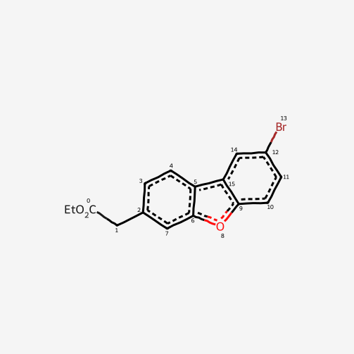 CCOC(=O)Cc1ccc2c(c1)oc1ccc(Br)cc12